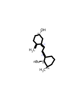 C=C1CC[C@H](O)C/C1=C/C=C1\CCC[C@@H](C)[C@H]1CCCC